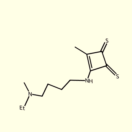 CCN(C)CCCCNc1c(C)c(=S)c1=S